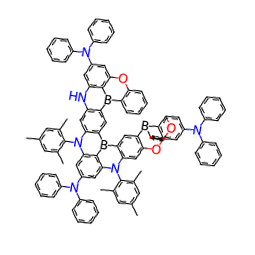 Cc1cc(C)c(N2c3cc4c(cc3B3c5cc6c(cc5N(c5c(C)cc(C)cc5C)c5cc(N(c7ccccc7)c7ccccc7)cc2c53)Oc2cc(N(c3ccccc3)c3ccccc3)cc3c2B6c2ccccc2O3)B2c3ccccc3Oc3cc(N(c5ccccc5)c5ccccc5)cc(c32)N4)c(C)c1